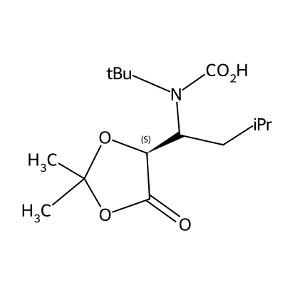 CC(C)CC([C@@H]1OC(C)(C)OC1=O)N(C(=O)O)C(C)(C)C